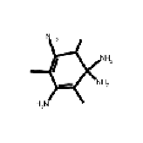 CC1=C(N)C(C)C(N)(N)C(C)=C1N